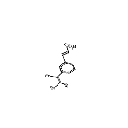 CCOC(=O)C=Cc1cccc(C(CC)=C(Br)Br)c1